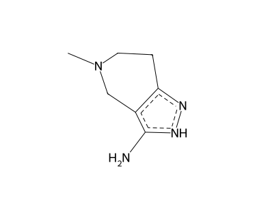 CN1CCc2n[nH]c(N)c2C1